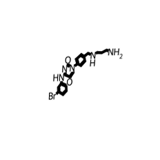 NCCCNCc1ccc(-n2cc3c(nc2=O)Nc2cc(Br)ccc2O3)cc1